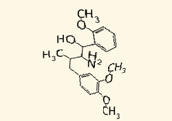 COc1ccc(CC(C)C(N)C(O)c2ccccc2OC)cc1OC